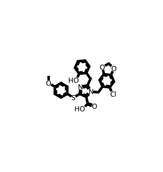 COc1ccc(Sc2nc(Cc3ccccc3O)n(Cc3cc4c(cc3Cl)OCO4)c2C(=O)O)cc1